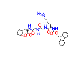 [N-]=[N+]=NCCCC[C@@H](NC(=O)OCC1c2ccccc2-c2ccccc21)C(=O)NCC(=O)NCC(=O)N[C@@H](Cc1ccccc1)C(=O)O